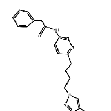 O=C(Cc1ccccc1)Nc1ccc(CCCCn2cc(C(=O)O)nn2)nn1